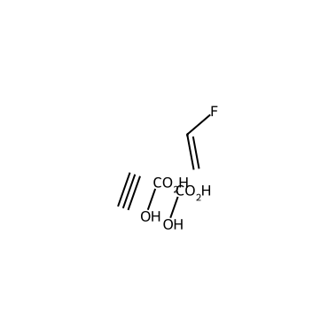 C#C.C=CF.O=C(O)O.O=C(O)O